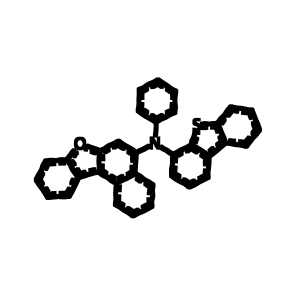 c1ccc(N(c2cc3oc4ccccc4c3c3ccccc23)c2cccc3c2sc2ccccc23)cc1